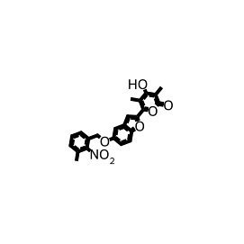 Cc1cccc(COc2ccc3oc(-c4oc(=O)c(C)c(O)c4C)cc3c2)c1[N+](=O)[O-]